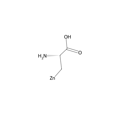 N[C@@H]([CH2][Zn])C(=O)O